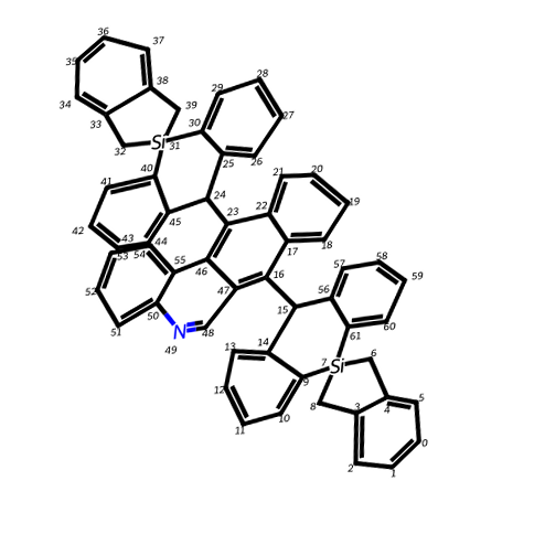 c1ccc2c(c1)C[Si]1(C2)c2ccccc2C(c2c3ccccc3c(C3c4ccccc4[Si]4(Cc5ccccc5C4)c4ccccc43)c3c2cnc2ccccc23)c2ccccc21